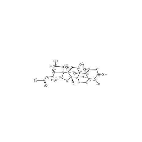 CCC(=O)OCC(=O)[C@]1(OC(=O)CC)[C@@H](C)C[C@H]2[C@@H]3CCC4=C(F)C(=O)C=C[C@]4(C)[C@@]3(Cl)[C@@H](O)C[C@@]21C